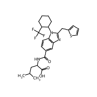 CC(C)CC(NC(=O)c1ccc2c(c1)nc(Cc1cccs1)n2C1CCCCC1C(F)(F)F)C(=O)O